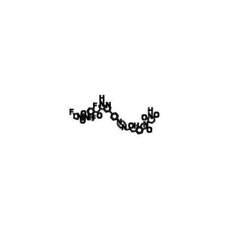 O=C1CC[C@@H](N2Cc3cc(C[C@H](O)CN4CCN(c5ccc(-c6cnc7[nH]cc(C(=O)c8c(F)ccc(NS(=O)(=O)N9CC[C@@H](F)C9)c8F)c7c6)cc5)CC4)ccc3C2=O)C(=O)N1